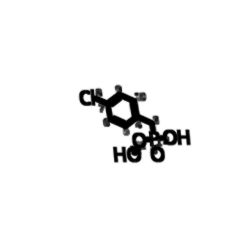 O=P(O)(Cc1ccc(Cl)cc1)OO